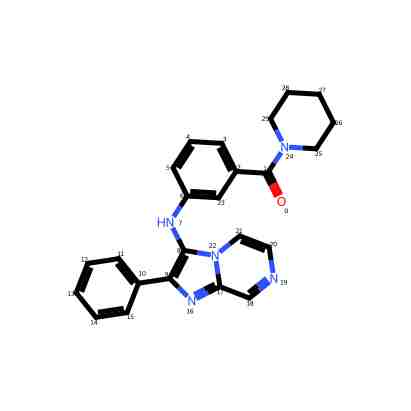 O=C(c1cccc(Nc2c(-c3ccccc3)nc3cnccn23)c1)N1CCCCC1